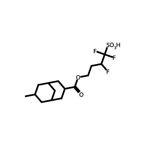 CC1CC2CC(C1)CC(C(=O)OCCC(F)C(F)(F)S(=O)(=O)O)C2